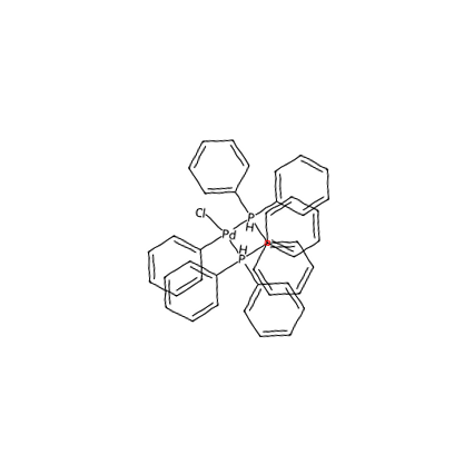 [Cl][Pd]([c]1ccccc1)([PH](c1ccccc1)(c1ccccc1)c1ccccc1)[PH](c1ccccc1)(c1ccccc1)c1ccccc1